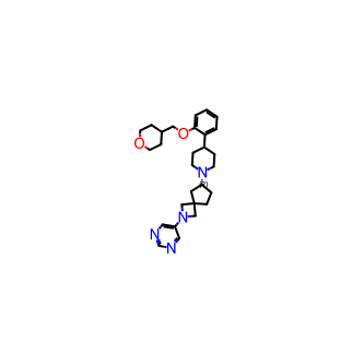 c1ccc(C2CCN([C@@H]3CCC4(C3)CN(c3cncnc3)C4)CC2)c(OCC2CCOCC2)c1